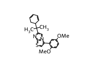 COc1ccc(OC)c(-c2csc3nc(C(C)(C)C4C=CC=CC4)cn23)c1